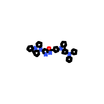 c1ccc(N(c2ccccc2)c2ccc3c(c2)c2ccccc2n3-c2ccc(-c3nc4ncc(N5c6ccccc6-n6c7ccccc7c7cccc5c76)cc4o3)cc2)cc1